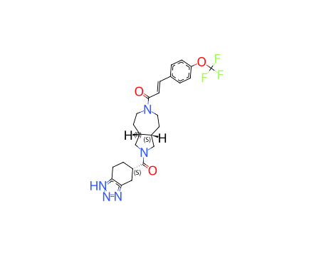 O=C(C=Cc1ccc(OC(F)(F)F)cc1)N1CC[C@@H]2CN(C(=O)[C@H]3CCc4[nH]nnc4C3)C[C@@H]2CC1